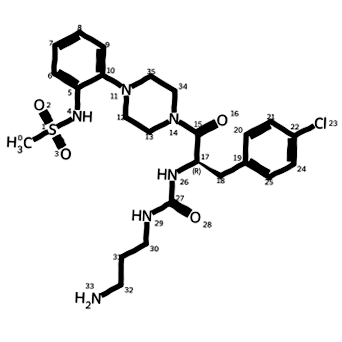 CS(=O)(=O)Nc1ccccc1N1CCN(C(=O)[C@@H](Cc2ccc(Cl)cc2)NC(=O)NCCCN)CC1